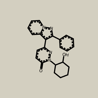 O=c1ccc(-c2c(-c3ccccc3)nn3ccccc23)nn1C1CCCCC1O